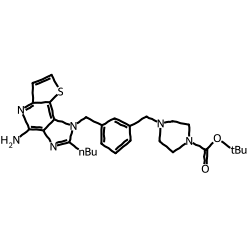 CCCCc1nc2c(N)nc3ccsc3c2n1Cc1cccc(CN2CCN(C(=O)OC(C)(C)C)CC2)c1